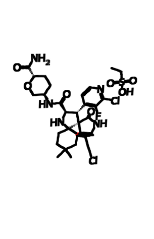 CC1(C)CCC2(CC1)N[C@@H](C(=O)N[C@@H]1CC[C@@H](C(N)=O)OC1)[C@H](c1ccnc(Cl)c1F)[C@]21C(=O)Nc2cc(Cl)ccc21.CCS(=O)(=O)O